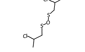 CC(Cl)CSOSCC(C)Cl